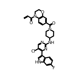 C=CC(=O)N1CCOc2cc(C(=O)N3CCC(Nc4ncc(Cl)c(-c5c[nH]c6cc(F)ccc56)n4)CC3)ccc21